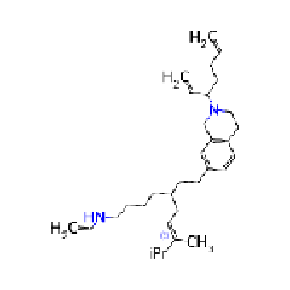 C=CCCC(C=C)N1CCc2ccc(CCC(C/C=C(\C)C(C)C)CCCCNC=C)cc2C1